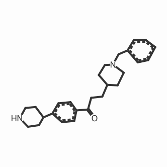 O=C(CCC1CCN(Cc2ccccc2)CC1)c1ccc(C2CCNCC2)cc1